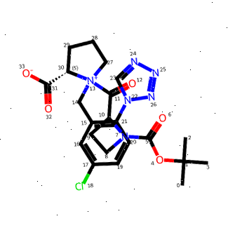 CC(C)(C)OC(=O)N1CCC1C(=O)[N+]1(Cc2cc(Cl)ccc2-n2cnnn2)CCC[C@H]1C(=O)[O-]